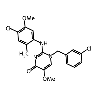 COc1cc(Nc2nc(=O)c(OC)cn2Cc2cccc(Cl)c2)c(C)cc1Cl